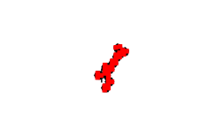 c1ccc(-c2cccc(-c3cc(-c4ccc(-c5ccc(-c6ccc(-n7c8ccccc8c8ccccc87)cc6)cc5)c5ccccc45)nc(-c4ccccc4)n3)c2)cc1